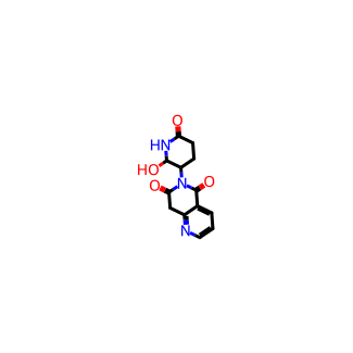 O=C1CCC(N2C(=O)Cc3ncccc3C2=O)C(O)N1